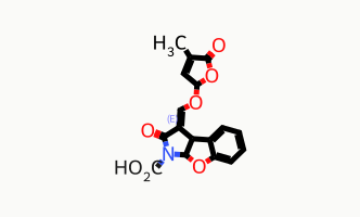 CC1=CC(O/C=C2/C(=O)N(C(=O)O)C3Oc4ccccc4C23)OC1=O